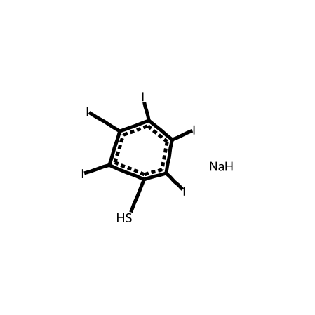 Sc1c(I)c(I)c(I)c(I)c1I.[NaH]